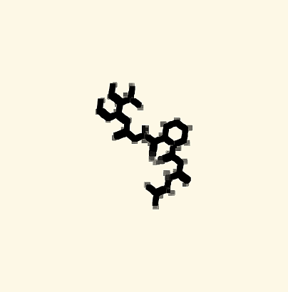 C=C(/C=C(\C=C/C)C(=C/C)/N(C)C)CNC(=O)C1CCCCN1C(=O)CC(=C)ON=C(C)C